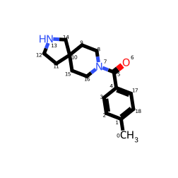 Cc1ccc(C(=O)N2CCC3(CCNC3)CC2)cc1